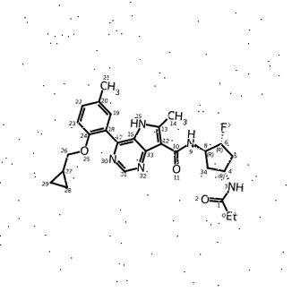 CCC(=O)N[C@H]1C[C@@H](F)[C@H](NC(=O)c2c(C)[nH]c3c(-c4cc(C)ccc4OCC4CC4)ncnc23)C1